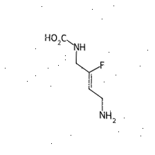 NC/C=C(\F)CNC(=O)O